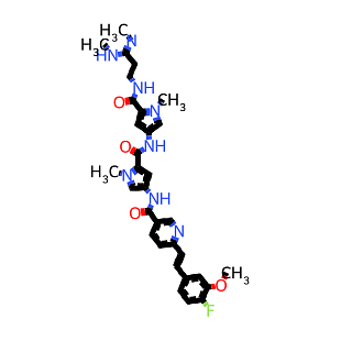 C/N=C(/CCNC(=O)c1cc(NC(=O)c2cc(NC(=O)c3ccc(/C=C/c4ccc(F)c(OC)c4)nc3)cn2C)cn1C)NC